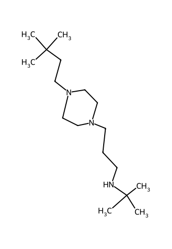 CC(C)(C)CCN1CCN(CCCNC(C)(C)C)CC1